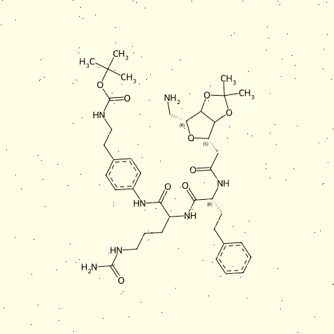 CC(C)(C)OC(=O)NCCc1ccc(NC(=O)C(CCCNC(N)=O)NC(=O)[C@@H](CCc2ccccc2)NC(=O)C[C@@H]2O[C@H](CN)C3OC(C)(C)OC32)cc1